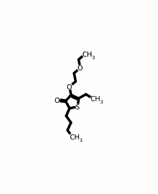 CCCCC1SC(CC)=C(OCCOCC)C1=O